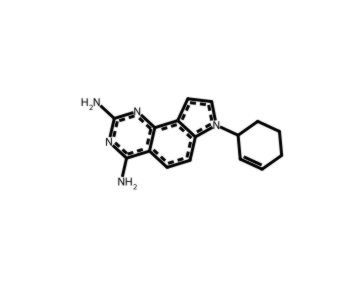 Nc1nc(N)c2ccc3c(ccn3C3C=CCCC3)c2n1